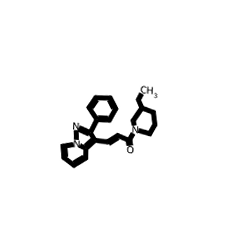 CCC1CCCN(C(=O)/C=C/c2c(-c3ccccc3)nn3ccccc23)C1